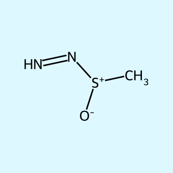 C[S+]([O-])N=N